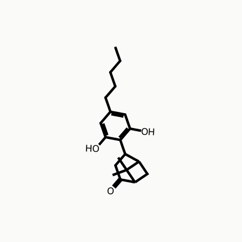 CCCCCc1cc(O)c(C2CC(=O)C3CC2C3(C)C)c(O)c1